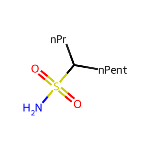 CCCCCC(CCC)S(N)(=O)=O